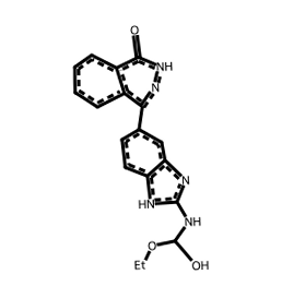 CCOC(O)Nc1nc2cc(-c3n[nH]c(=O)c4ccccc34)ccc2[nH]1